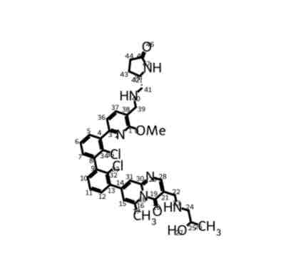 COc1nc(-c2cccc(-c3cccc(-c4cc(C)n5c(=O)c(CNCC(C)O)cnc5c4)c3Cl)c2Cl)ccc1CNC[C@@H]1CCC(=O)N1